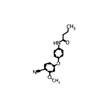 CC[CH]C(=O)Nc1ccc(Oc2ccc(C#N)c(OC)c2)cc1